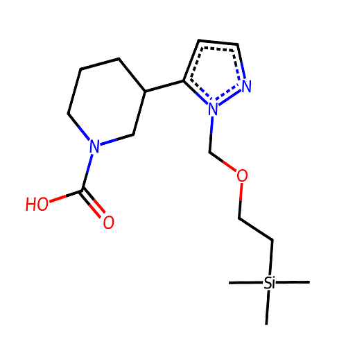 C[Si](C)(C)CCOCn1nccc1C1CCCN(C(=O)O)C1